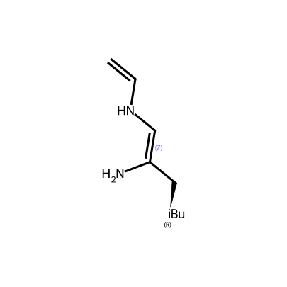 C=CN/C=C(\N)C[C@H](C)CC